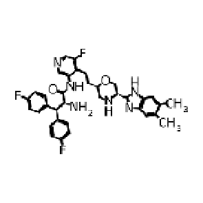 Cc1cc2nc([C@@H]3CO[C@H](CCc4c(F)cncc4NC(=O)[C@@H](N)C(c4ccc(F)cc4)c4ccc(F)cc4)CN3)[nH]c2cc1C